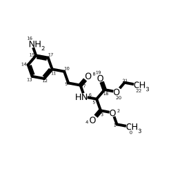 CCOC(=O)C(NC(=O)CCc1cccc(N)c1)C(=O)OCC